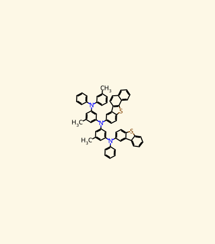 Cc1cccc(N(c2ccccc2)c2cc(C)cc(N(c3cc(C)cc(N(c4ccccc4)c4ccc5sc6ccccc6c5c4)c3)c3ccc4sc5c6ccccc6ccc5c4c3)c2)c1